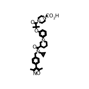 Cc1noc(C)c1-c1ccc(CN(C(=O)C2CCCN(c3cccc(OC(C)(C)C(=O)N4CCN(C(=O)O)CC4)c3)C2)C2CC2)cc1